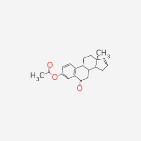 CC(=O)Oc1ccc2c(c1)C(=O)CC1C2CC[C@]2(C)C=CCC12